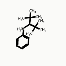 CC(C)(C)C([SiH2]c1cc[c]cc1)C(C)(C)C